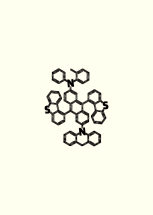 Cc1ccccc1N(c1ccccc1)c1ccc2c(-c3cccc4sc5ccccc5c34)c3cc(N4c5ccccc5Cc5ccccc54)ccc3c(-c3cccc4sc5ccccc5c34)c2c1